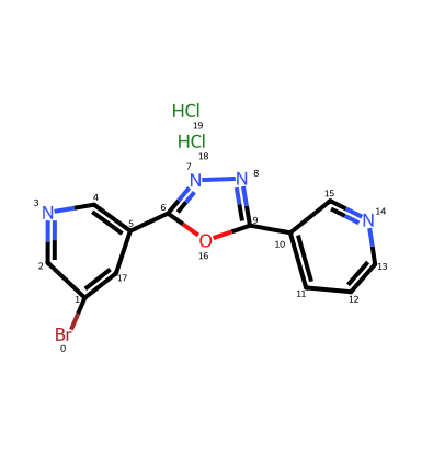 Brc1cncc(-c2nnc(-c3cccnc3)o2)c1.Cl.Cl